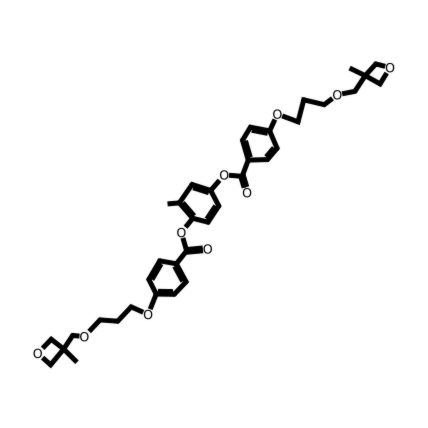 Cc1cc(OC(=O)c2ccc(OCCCOCC3(C)COC3)cc2)ccc1OC(=O)c1ccc(OCCCOCC2(C)COC2)cc1